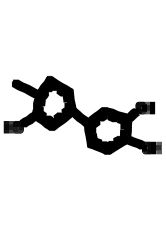 Cc1ccc(-c2ccc(O)c(O)c2)cc1O